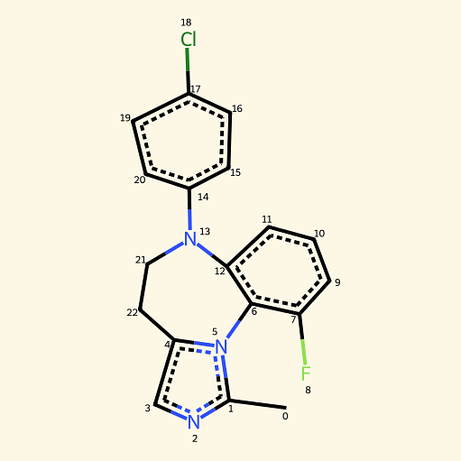 Cc1ncc2n1-c1c(F)cccc1N(c1ccc(Cl)cc1)CC2